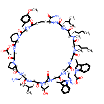 CCCC[C@H]1C(=O)N(C)[C@@H](CCCC)C(=O)N[C@@H](CC(C)C)C(=O)N[C@H](C(N)=O)CCCC(=O)N[C@@H](Cc2ccc(OC)cc2)C(=O)N2CCCC[C@H]2C(=O)N[C@@H](CC(=O)O)C(=O)N2CCC[C@H]2C(=O)N[C@@H](CN)C(=O)N[C@@H](CC(C)C)C(=O)N2C[C@H](O)C[C@@]23C(=O)N3[C@@H](Cc2c[nH]c3ccccc23)C(=O)N[C@@H](CCN)C(=O)N[C@@H](Cc2cn(CC(=O)O)c3ccccc23)C(=O)N1C